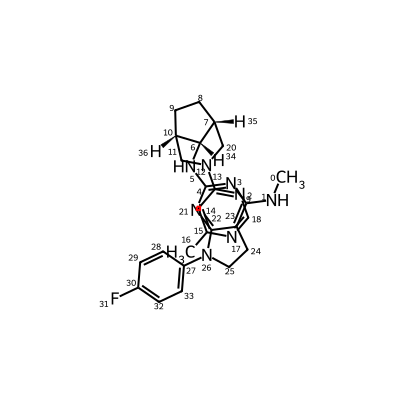 CNc1nc(N[C@H]2[C@@H]3CC[C@H]2CN(c2cc(C)ncn2)C3)nc2c1CCN2c1ccc(F)cc1